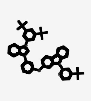 CC(C)(C)c1cc(-[n+]2cn(-c3cncc(Oc4ccc5c6ccccc6n(-c6cc(C(C)(C)C)ccn6)c5c4)c3)c3ccccc32)cc(C(C)(C)C)c1